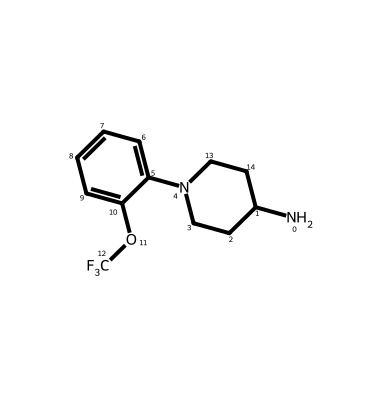 NC1CCN(c2ccccc2OC(F)(F)F)CC1